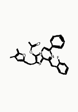 CC(=O)Oc1c(Cc2cc(C)c(C)o2)nc2c(Cc3ccccc3F)nc(-c3ccccc3)cn12